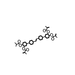 C=C(C)C(=O)Oc1ccc(-c2ccc(/C=C/c3ccc(-c4ccc(OC(=O)C(C)C)c(OC(=O)C(=C)C)c4)cc3)cc2)cc1OC(=O)C(=C)C